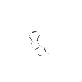 N#Cc1cnc2[nH]c3ccc(Br)cc3c2c1